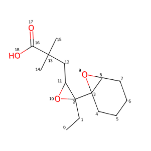 CCC1(C23CCCCC2O3)OC1CC(C)(C)C(=O)O